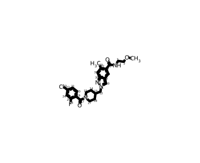 COCCNC(=O)c1cc2cn(CC3CCN(C(=O)c4ccc(Cl)cc4F)CC3)nc2cc1C